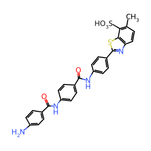 Cc1ccc2nc(-c3ccc(NC(=O)c4ccc(NC(=O)c5ccc(N)cc5)cc4)cc3)sc2c1S(=O)(=O)O